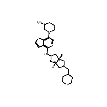 C[C@H]1CCCN(c2nnc(NC3C[C@@H]4CN(CC5CCOCC5)C[C@@H]4C3)c3ccsc23)C1